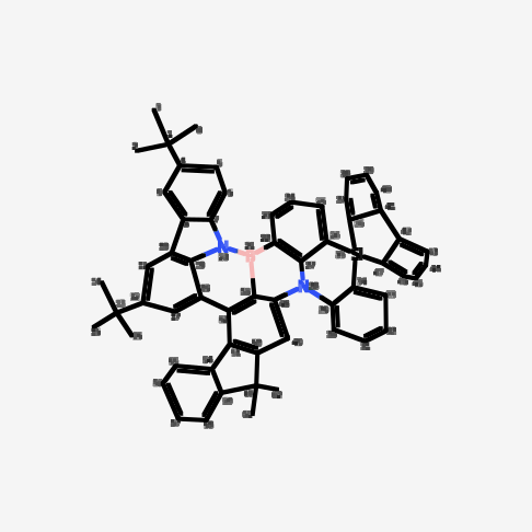 CC(C)(C)c1ccc2c(c1)c1cc(C(C)(C)C)cc3c1n2B1c2cccc4c2N(c2ccccc2[Si]42c4ccccc4-c4ccccc42)c2cc4c(c-3c21)-c1ccccc1C4(C)C